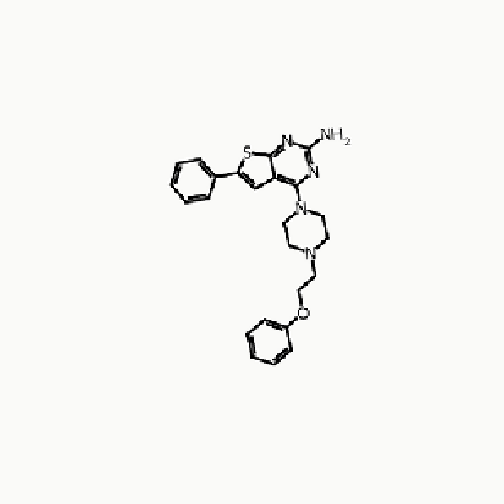 Nc1nc(N2CCN(CCOc3ccccc3)CC2)c2cc(-c3ccccc3)sc2n1